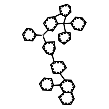 c1ccc(-c2c(-c3ccc(-c4ccc(N(c5ccccc5)c5ccc6c(c5)C(c5ccccc5)(c5ccccc5)c5ccccc5-6)cc4)cc3)ccc3ccccc23)cc1